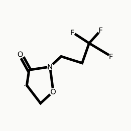 O=C1[CH]CON1CCC(F)(F)F